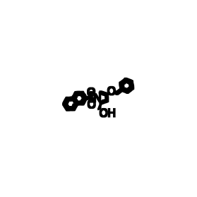 O=S(=O)(c1ccc2ccccc2c1)N1C[C@H](OCc2ccccc2)C[C@H]1CO